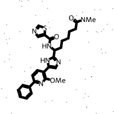 CNC(=O)CCCCCC(NC(=O)c1cncs1)c1ncc(-c2ccc(-c3ccccc3)nc2OC)[nH]1